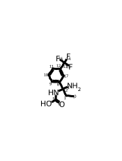 [CH2]CC(N)(NC(=O)O)c1cccc(C(F)(F)F)c1